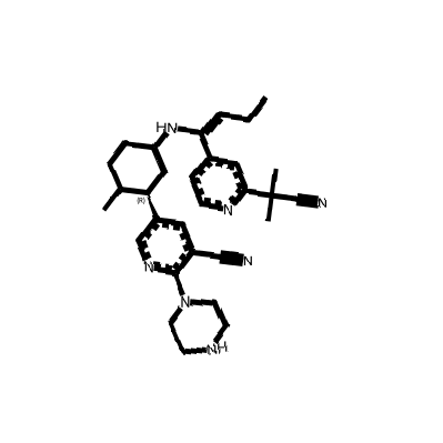 CCC=C(NC1CCC(C)[C@H](c2cnc(N3CCNCC3)c(C#N)c2)C1)c1ccnc(C(C)(C)C#N)c1